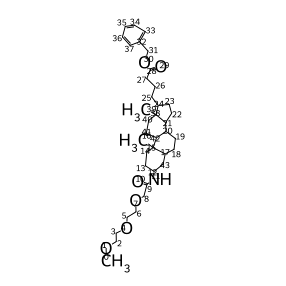 COCCOCCOCC(=O)NC1CCC2(C)C(CCC3C4CCC(CCCC(=O)OCc5ccccc5)C4(C)CCC32)C1